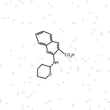 O=C(O)c1cc2ccccc2nc1NC1CCCCO1